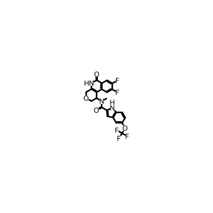 CN(C(=O)c1cc2cc(OC(F)(F)F)ccc2[nH]1)C1COCc2[nH]c(=O)c3cc(F)c(F)cc3c21